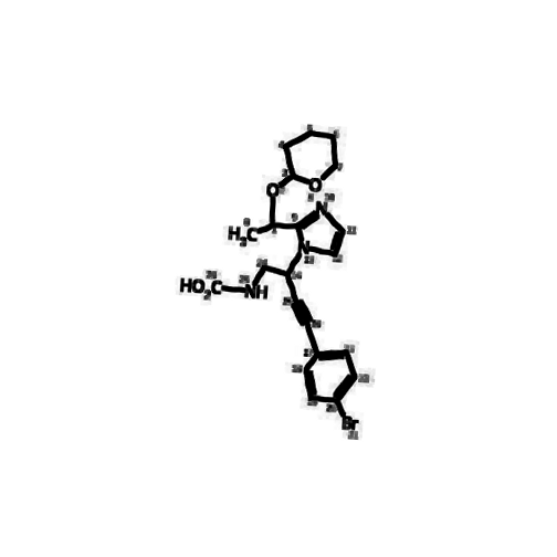 CC(OC1CCCCO1)c1nccn1C(C#Cc1ccc(Br)cc1)CNC(=O)O